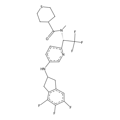 CN(C(=O)C1CCSCC1)[C@@H](c1ccc(NC2Cc3cc(F)c(F)c(F)c3C2)cn1)C(F)(F)F